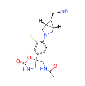 CC(=O)NCC1(c2ccc(N3C[C@@H]4[C@@H](CC#N)[C@@H]4C3)c(F)c2)CNC(=O)O1